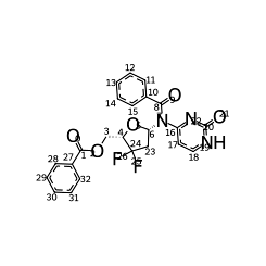 O=C(OC[C@@H]1O[C@H](N(C(=O)c2ccccc2)c2cc[nH]c(=O)n2)CC1(F)F)c1ccccc1